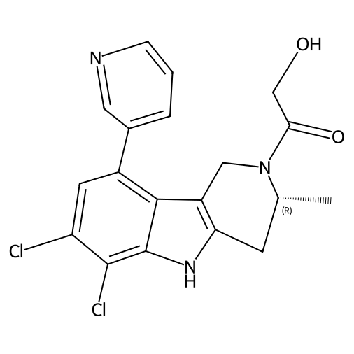 C[C@@H]1Cc2[nH]c3c(Cl)c(Cl)cc(-c4cccnc4)c3c2CN1C(=O)CO